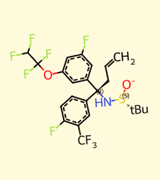 C=CC[C@](N[S@+]([O-])C(C)(C)C)(c1cc(F)cc(OC(F)(F)C(F)F)c1)c1ccc(F)c(C(F)(F)F)c1